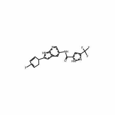 O=C(Nc1cnc2[nH]c(C3C=CC(F)=CC3)cc2c1)c1cc(C(F)(F)F)n[nH]1